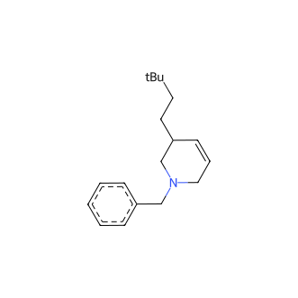 CC(C)(C)CCC1C=CCN(Cc2ccccc2)C1